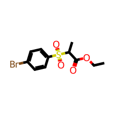 CCOC(=O)C(C)S(=O)(=O)c1ccc(Br)cc1